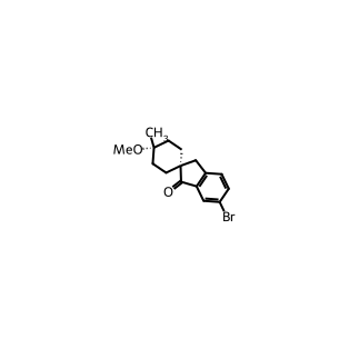 CO[C@]1(C)CC[C@]2(CC1)Cc1ccc(Br)cc1C2=O